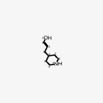 OC=CCC1CCNCC1